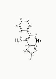 Cc1cc2ncc(-c3ccccc3)c(N)n2n1